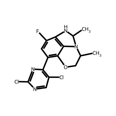 CC1COc2c(-c3nc(Cl)ncc3Cl)cc(F)c3c2N1C(C)N3